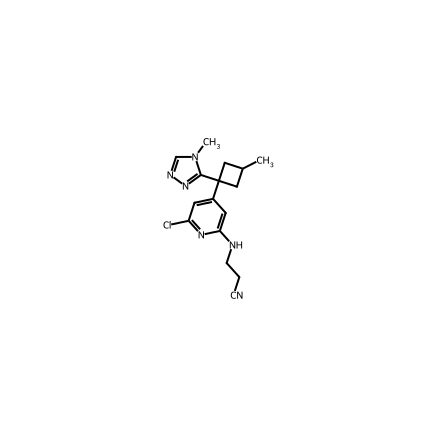 CC1CC(c2cc(Cl)nc(NCCC#N)c2)(c2nncn2C)C1